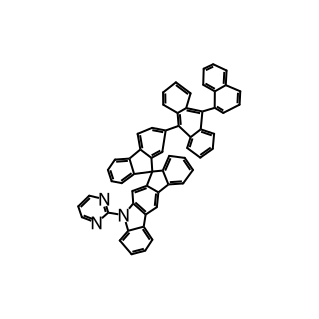 c1cnc(-n2c3ccccc3c3cc4c(cc32)C2(c3ccccc3-c3ccc(-c5c6ccccc6c(-c6cccc7ccccc67)c6ccccc56)cc32)c2ccccc2-4)nc1